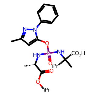 Cc1cc(OP(=O)(N[C@@H](C)C(=O)OC(C)C)NC(C)(C(=O)O)C(C)C)n(-c2ccccc2)n1